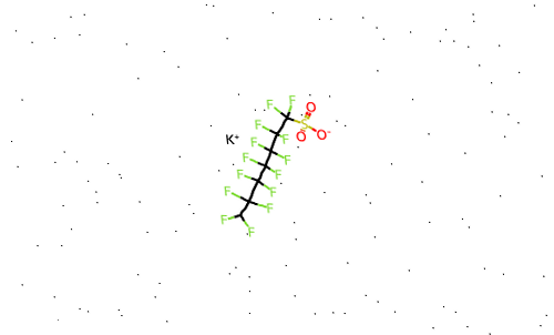 O=S(=O)([O-])C(F)(F)C(F)(F)C(F)(F)C(F)(F)C(F)(F)C(F)(F)C(F)F.[K+]